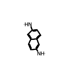 [NH]c1ccc2cc([NH])ccc2c1